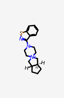 c1ccc2c(N3CC[N+]4(CC3)C[C@H]3CCC[C@@H]3C4)nsc2c1